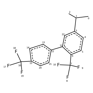 CC(C)c1ccc(C(F)(F)F)c(-c2ccc(C(F)(F)F)cc2)c1